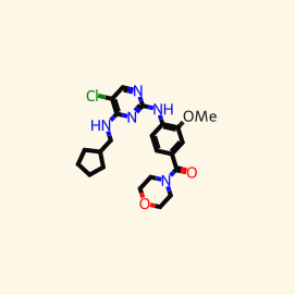 COc1cc(C(=O)N2CCOCC2)ccc1Nc1ncc(Cl)c(NCC2CCCC2)n1